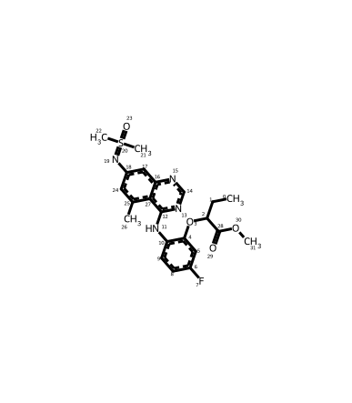 CCC(Oc1cc(F)ccc1Nc1ncnc2cc(N=S(C)(C)=O)cc(C)c12)C(=O)OC